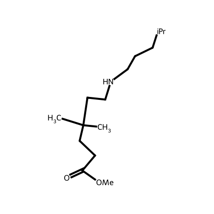 COC(=O)CCC(C)(C)CCNCCCC(C)C